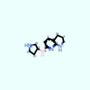 B(c1ccc2c(n1)NCCC2)C1CCNC1